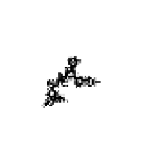 CCOc1ccc(C(=O)CCC(=O)Nc2cc(-c3cccc(CO)c3)cc(-c3ccccc3)n2)cc1OCC